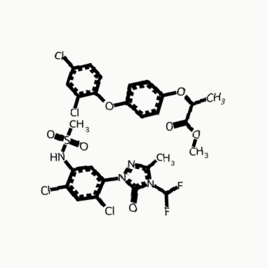 COC(=O)C(C)Oc1ccc(Oc2ccc(Cl)cc2Cl)cc1.Cc1nn(-c2cc(NS(C)(=O)=O)c(Cl)cc2Cl)c(=O)n1C(F)F